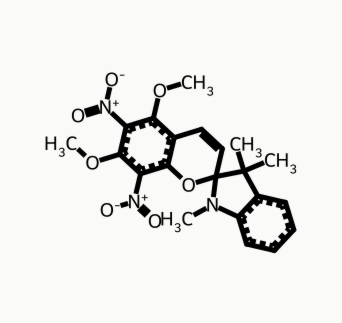 COc1c2c(c([N+](=O)[O-])c(OC)c1[N+](=O)[O-])OC1(C=C2)N(C)c2ccccc2C1(C)C